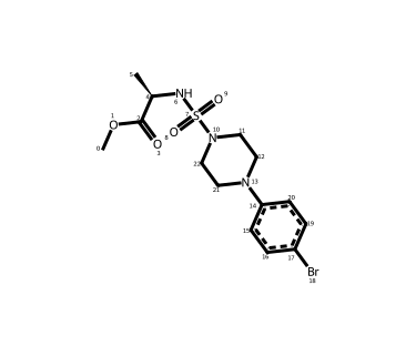 COC(=O)[C@@H](C)NS(=O)(=O)N1CCN(c2ccc(Br)cc2)CC1